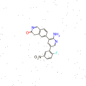 Nc1ncc(-c2cc([N+](=O)[O-])ccc2F)cc1-c1ccc2c(c1)CC(=O)N=C2